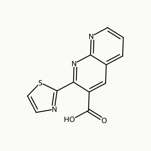 O=C(O)c1cc2cccnc2nc1-c1nccs1